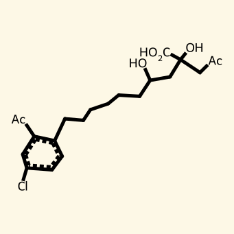 CC(=O)CC(O)(CC(O)CCCCCCc1ccc(Cl)cc1C(C)=O)C(=O)O